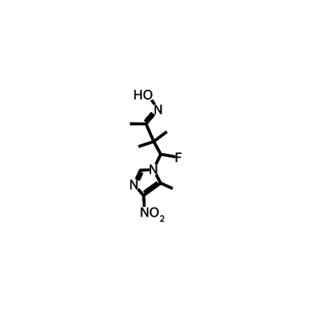 CC(=NO)C(C)(C)C(F)n1cnc([N+](=O)[O-])c1C